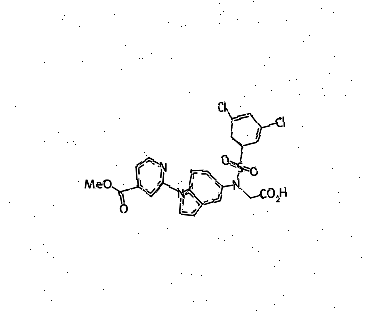 COC(=O)c1ccnc(-n2ccc3cc(N(CC(=O)O)S(=O)(=O)C4C=C(Cl)C=C(Cl)C4)ccc32)c1